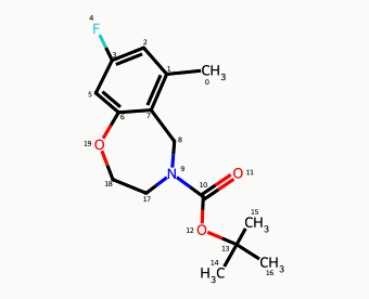 Cc1cc(F)cc2c1CN(C(=O)OC(C)(C)C)CCO2